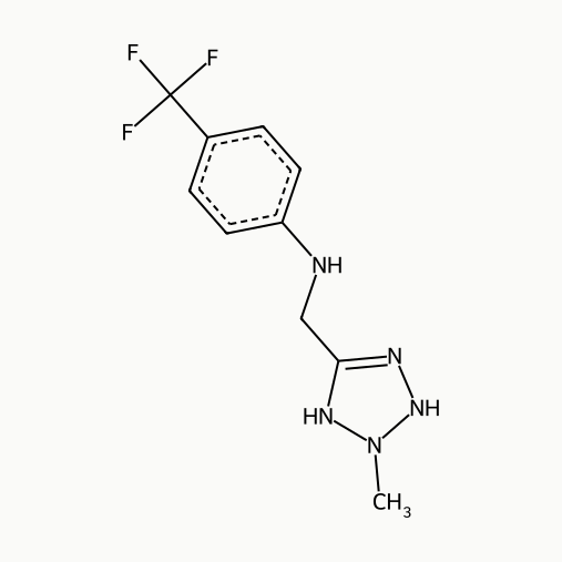 CN1NN=C(CNc2ccc(C(F)(F)F)cc2)N1